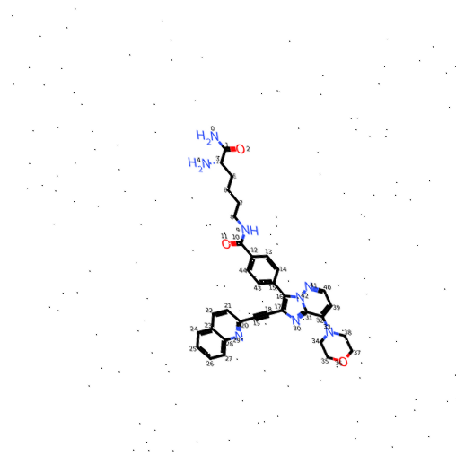 NC(=O)[C@@H](N)CCCCNC(=O)c1ccc(-c2c(C#Cc3ccc4ccccc4n3)nc3c(N4CCOCC4)ccnn23)cc1